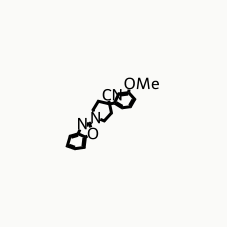 COc1cccc(C2(C#N)CCN(c3nc4ccccc4o3)CC2)c1